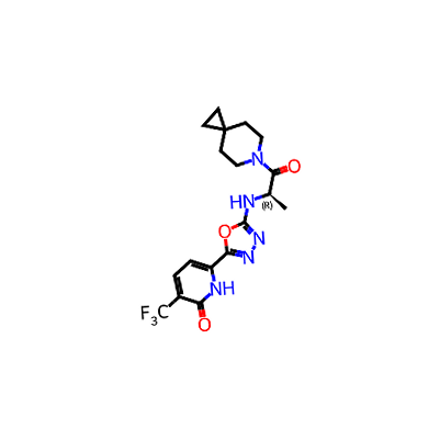 C[C@@H](Nc1nnc(-c2ccc(C(F)(F)F)c(=O)[nH]2)o1)C(=O)N1CCC2(CC1)CC2